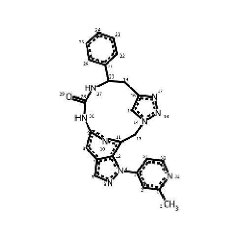 Cc1cc(-n2ncc3cc4nc(c32)Cn2cc(nn2)CC(c2ccccc2)NC(=O)N4)ccn1